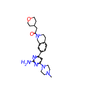 CN1CCN(c2cc(-c3ccc4c(c3)CN(C(=O)CC3CCOCC3)CC4)nc(N)n2)CC1